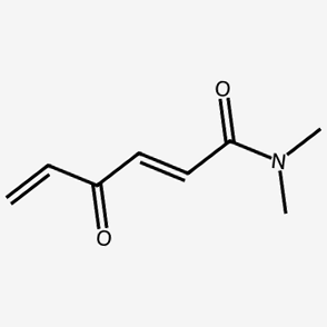 C=CC(=O)C=CC(=O)N(C)C